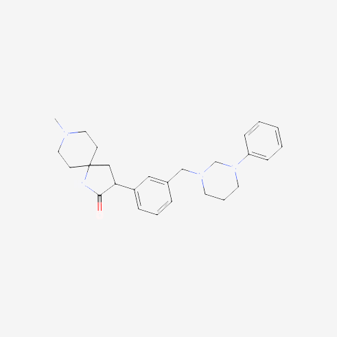 CN1CCC2(CC1)CC(c1cccc(CN3CCCN(c4ccccc4)C3)c1)C(=O)N2